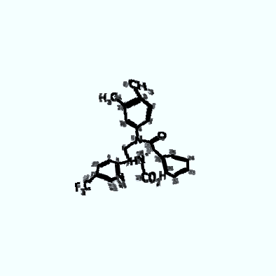 Cc1ccc(N(CCc2ccc(C(F)(F)F)cn2)C(=O)[C@@H](NC(=O)O)c2ccccc2)cc1C